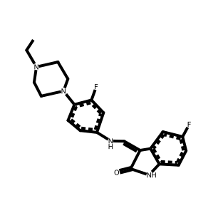 CCN1CCN(c2ccc(NC=C3C(=O)Nc4ccc(F)cc43)cc2F)CC1